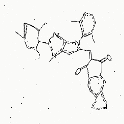 CC1=CC(C)C(c2nc3c(cc(C=C4C(=O)c5cc6ccccc6cc5C4=O)n3-c3c(C)cccc3C)n2C)C(C)=C1